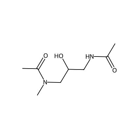 CC(=O)NCC(O)CN(C)C(C)=O